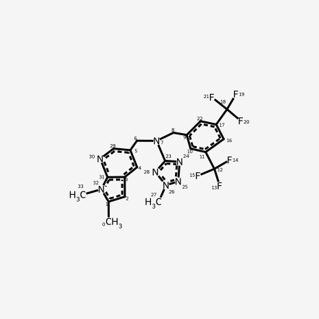 Cc1cc2cc(CN(Cc3cc(C(F)(F)F)cc(C(F)(F)F)c3)c3nnn(C)n3)[c]nc2n1C